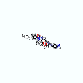 CC1=C/C(=C\c2oc3cc(C(=O)O)ccc3[n+]2CCC(=O)O)C=C(/C=C/C=C/c2ccc(N(C)C)cc2)O1